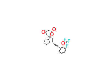 O=C1CC(=O)OC(CCC#Cc2ccccc2OC(F)(F)F)(C2CCCC2)C1